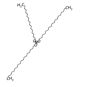 CCCCCCCCCCCCCCCCCCOB(OCCCCCCCCCCCCCCCCCC)OCCCCCCCCCCCCCCCCCC